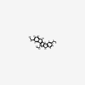 CCc1ccc2c(c1)-c1c3c(n(CC)c1C2)-c1cc(CC)ccc1C3